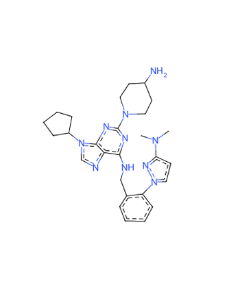 CN(C)c1ccn(-c2ccccc2CNc2nc(N3CCC(N)CC3)nc3c2ncn3C2CCCC2)n1